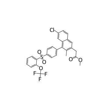 COC(=O)Cc1cc2ccc(Cl)cc2c(-c2ccc(S(=O)(=O)c3ccccc3OC(F)(F)F)cc2)c1C